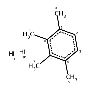 Cc1ccc(C)c(C)c1C.I.I